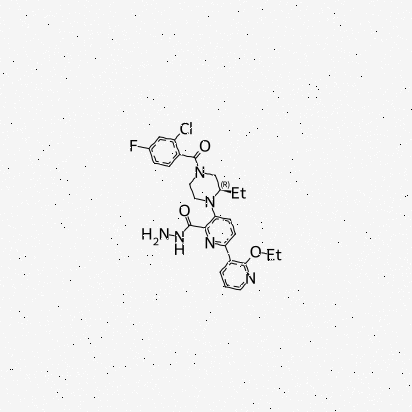 CCOc1ncccc1-c1ccc(N2CCN(C(=O)c3ccc(F)cc3Cl)C[C@H]2CC)c(C(=O)NN)n1